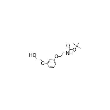 CC(C)(C)OC(=O)NCCOc1cccc(OCCO)c1